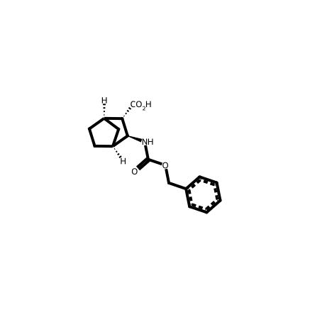 O=C(N[C@H]1[C@H]2CC[C@H](C2)[C@@H]1C(=O)O)OCc1ccccc1